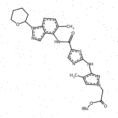 Cc1cn(CC(=O)OC(C)(C)C)nc1Nc1ncc(C(=O)Nc2c(C)ccc3c2cnn3C2CCCCO2)s1